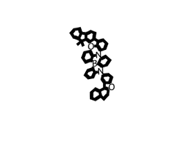 CC1(C)c2ccccc2-c2ccc3c(oc4c(N5c6ccccc6B6c7ccccc7N(c7ccc8oc9ccc%10ccccc%10c9c8c7)c7cccc5c76)cccc43)c21